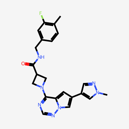 Cc1ccc(CNC(=O)C2CN(c3ncnn4cc(-c5cnn(C)c5)cc34)C2)cc1F